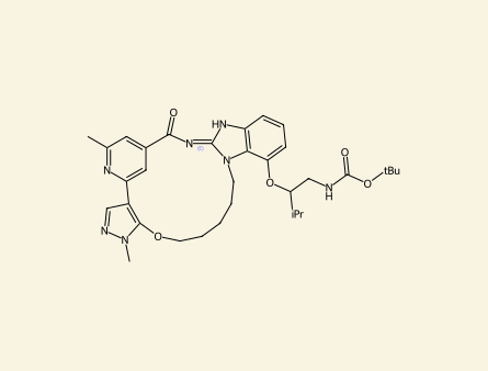 Cc1cc2cc(n1)-c1cnn(C)c1OCCCCCN1/C(=N/C2=O)Nc2cccc(OC(CNC(=O)OC(C)(C)C)C(C)C)c21